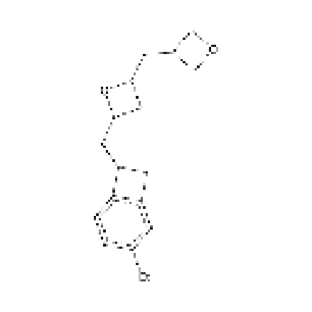 CCc1ccc2c(c1)CC2CC1CC(CC2COC2)O1